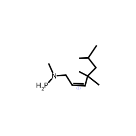 CC(C)CC(C)(C)/C=C\CN(C)P